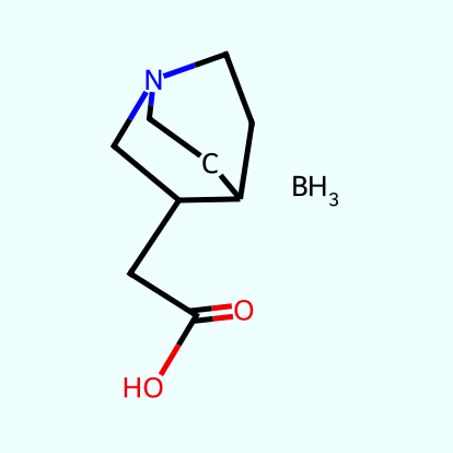 B.O=C(O)CC1CN2CCC1CC2